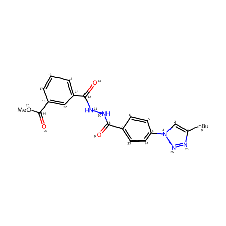 CCCCc1cn(-c2ccc(C(=O)NNC(=O)c3cccc(C(=O)OC)c3)cc2)nn1